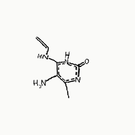 C=CNc1[nH]c(=O)nc(C)c1N